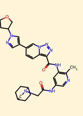 Cc1ncc(NC(=O)CN2CC3CCC2CC3)cc1NC(=O)c1nnn2cc(-c3cnn(C4CCOC4)c3)ccc12